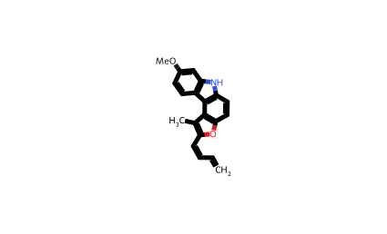 C=C/C=C\c1oc2ccc3[nH]c4cc(OC)ccc4c3c2c1C